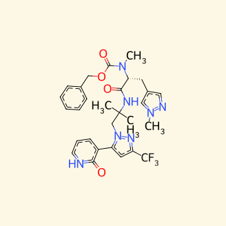 CN(C(=O)OCc1ccccc1)[C@H](Cc1cnn(C)c1)C(=O)NC(C)(C)Cn1nc(C(F)(F)F)cc1-c1ccc[nH]c1=O